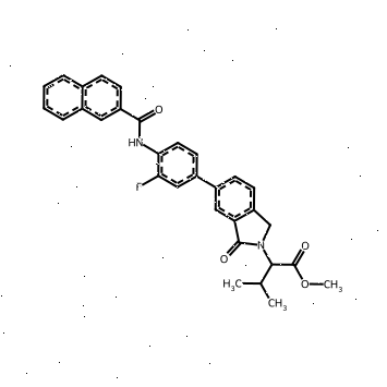 COC(=O)C(C(C)C)N1Cc2ccc(-c3ccc(NC(=O)c4ccc5ccccc5c4)c(F)c3)cc2C1=O